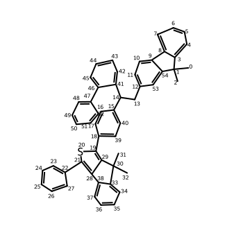 CC1(C)c2ccccc2-c2ccc(CC(c3ccc(-c4sc(-c5ccccc5)c5c4C(C)(C)c4ccccc4-5)cc3)c3ccccc3-c3ccccc3)cc21